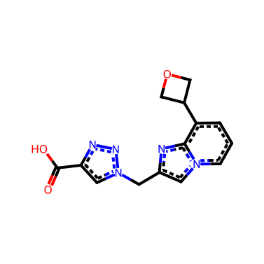 O=C(O)c1cn(Cc2cn3cccc(C4COC4)c3n2)nn1